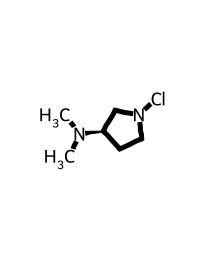 CN(C)[C@@H]1CCN(Cl)C1